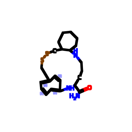 NC(=O)C1CCCNC2CCCCCC2CSSCC2=C\C=C/C=C(/C=C\2)N1